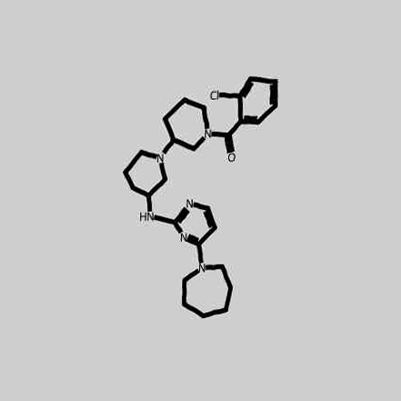 O=C(c1ccccc1Cl)N1CCCC(N2CCCC(Nc3nccc(N4CCCCCC4)n3)C2)C1